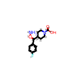 NOC(c1ccc(F)cc1)C1CCN(C(=O)O)CC1